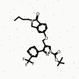 CCCCN1Cc2cc(OCc3cn(C(=O)OC(C)(C)C)nc3-c3cccc(C(F)(F)F)c3)ccc2C1=O